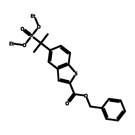 CCOP(=O)(OCC)C(C)(C)c1ccc2sc(C(=O)OCc3ccccc3)cc2c1